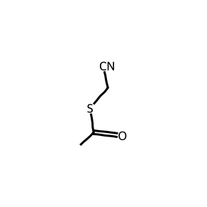 CC(=O)SCC#N